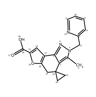 Cc1c2c(nn1Cc1ccccn1)-c1cc(C(=O)O)oc1CC21CC1